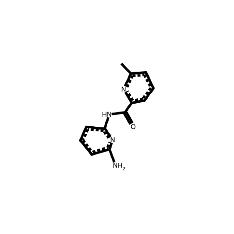 Cc1cccc(C(=O)Nc2cccc(N)n2)n1